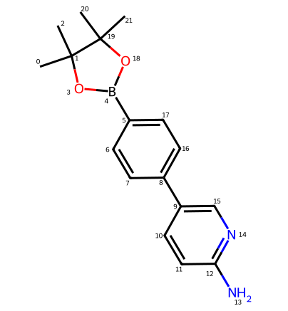 CC1(C)OB(c2ccc(-c3ccc(N)nc3)cc2)OC1(C)C